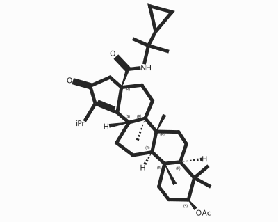 CC(=O)O[C@H]1CC[C@]2(C)[C@H]3CC[C@@H]4C5=C(C(C)C)C(=O)C[C@]5(C(=O)NC(C)(C)C5CC5)CC[C@@]4(C)[C@]3(C)CC[C@H]2C1(C)C